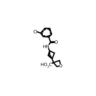 O=C(NC12CC(C3(C(=O)O)COC3)(C1)C2)c1cccc(Cl)c1